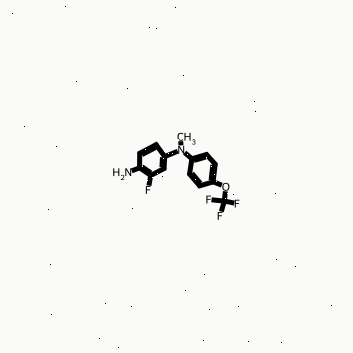 CN(c1ccc(OC(F)(F)F)cc1)c1ccc(N)c(F)c1